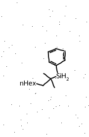 CCCCCCCC(C)(C)[SiH2]c1ccccc1